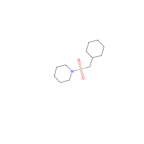 O=S(=O)(CC1CCCCC1)N1CCCCC1